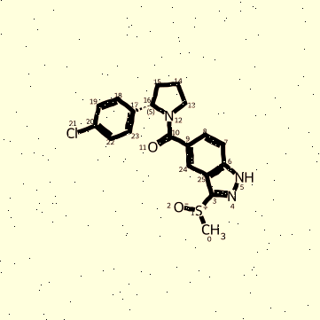 C[S+]([O-])c1n[nH]c2ccc(C(=O)N3CCC[C@H]3c3ccc(Cl)cc3)cc12